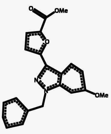 COC(=O)c1ccc(-c2nn(Cc3ccccc3)c3cc(OC)ccc23)o1